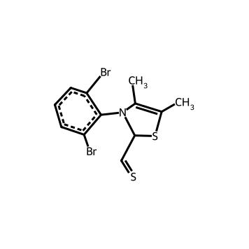 CC1=C(C)N(c2c(Br)cccc2Br)C(C=S)S1